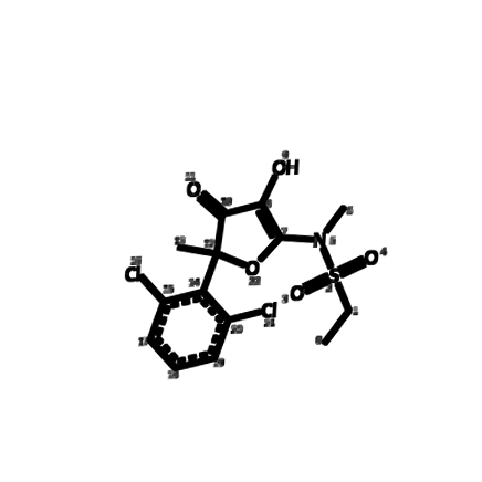 CCS(=O)(=O)N(C)C1=C(O)C(=O)C(C)(c2c(Cl)cccc2Cl)O1